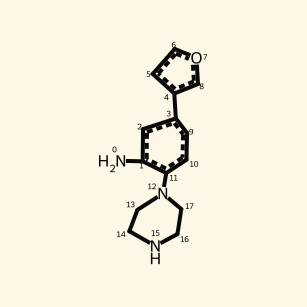 Nc1cc(-c2ccoc2)ccc1N1CCNCC1